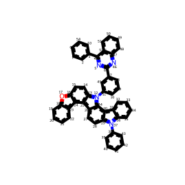 c1ccc(-c2nc(-c3cccc(-n4c5ccc6oc7ccccc7c6c5c5ccc6c(c7ccccc7n6-c6ccccc6)c54)c3)nc3ccccc23)cc1